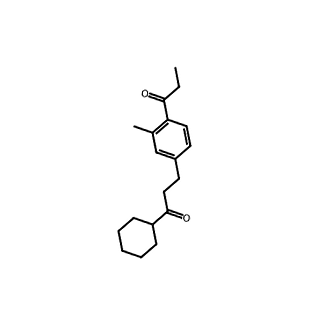 CCC(=O)c1ccc(CCC(=O)C2CCCCC2)cc1C